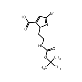 CC(C)(C)OC(=O)NCCn1nc(Br)cc1C(=O)O